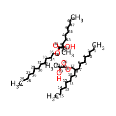 CCCCCCCCC(CCCCCCCC)COC(=O)C(C)O.CCCCCCCCCCCCOC(=O)C(C)(O)CCCCCCCC